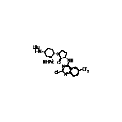 CC(=O)N[C@@H]1C[C@H](NC(C)(C)C)CC[C@@H]1N1CC[C@H](Nc2nc(Cl)nc3ccc(C(F)(F)F)cc23)C1=O